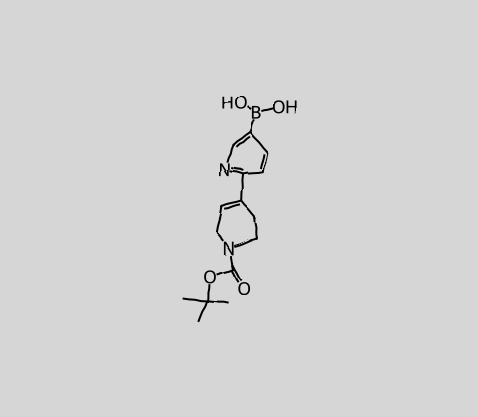 CC(C)(C)OC(=O)N1CC=C(c2ccc(B(O)O)cn2)CC1